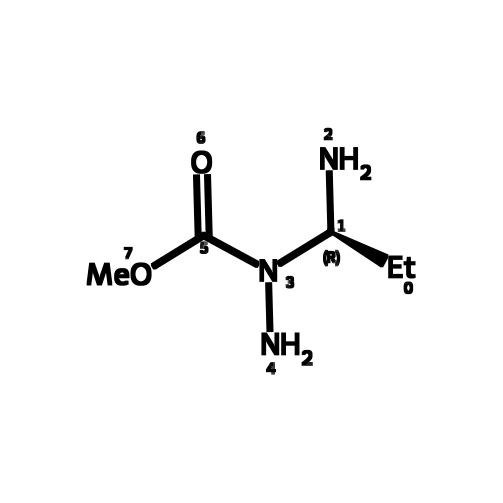 CC[C@H](N)N(N)C(=O)OC